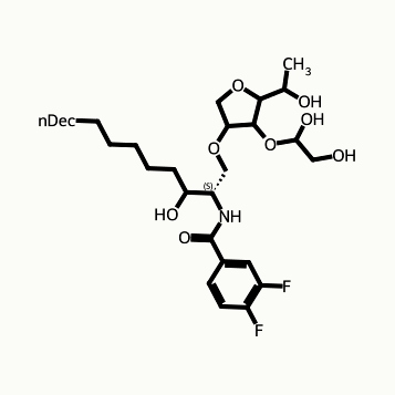 CCCCCCCCCCCCCCCC(O)[C@H](COC1COC(C(C)O)C1OC(O)CO)NC(=O)c1ccc(F)c(F)c1